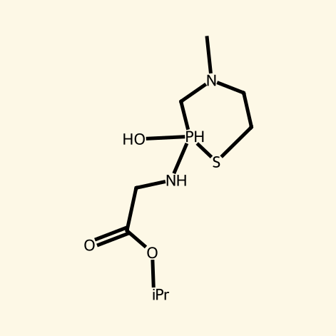 CC(C)OC(=O)CN[PH]1(O)CN(C)CCS1